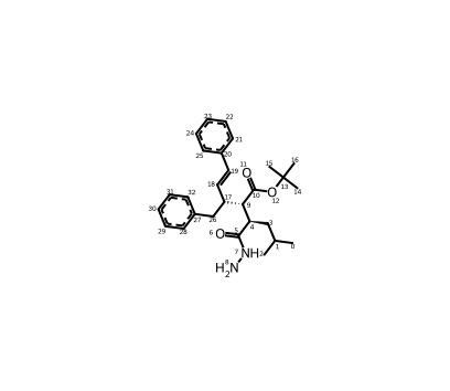 CC(C)C[C@@H](C(=O)NN)[C@@H](C(=O)OC(C)(C)C)C(/C=C/c1ccccc1)Cc1ccccc1